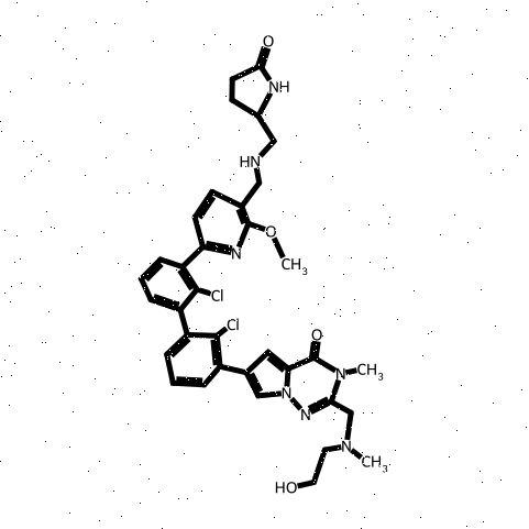 COc1nc(-c2cccc(-c3cccc(-c4cc5c(=O)n(C)c(CN(C)CCO)nn5c4)c3Cl)c2Cl)ccc1CNCC1CCC(=O)N1